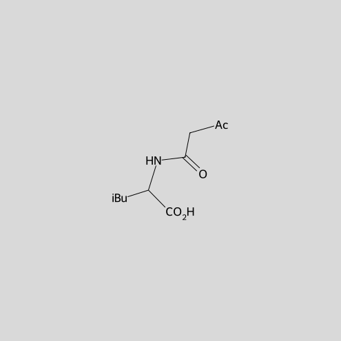 CCC(C)C(NC(=O)CC(C)=O)C(=O)O